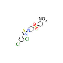 O=[N+]([O-])c1cccc(S(=O)(=O)C2CCN(c3nc(-c4ccc(Cl)cc4Cl)cs3)CC2)c1